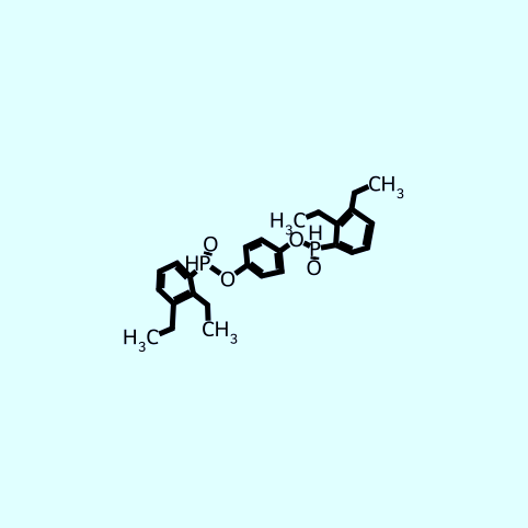 CCc1cccc([PH](=O)Oc2ccc(O[PH](=O)c3cccc(CC)c3CC)cc2)c1CC